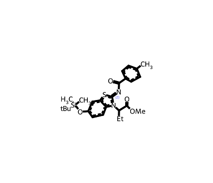 CCC(C(=O)OC)n1/c(=N/C(=O)c2ccc(C)cc2)sc2cc(O[Si](C)(C)C(C)(C)C)ccc21